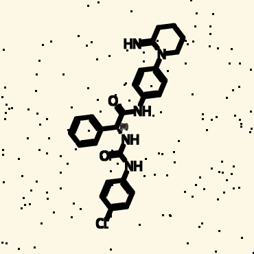 N=C1CCCCN1c1ccc(NC(=O)[C@H](NC(=O)Nc2ccc(Cl)cc2)c2ccccc2)cc1